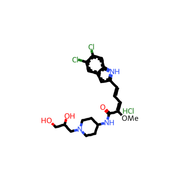 COC(=CC=Cc1cc2cc(Cl)c(Cl)cc2[nH]1)C(=O)NC1CCN(CC(O)CO)CC1.Cl